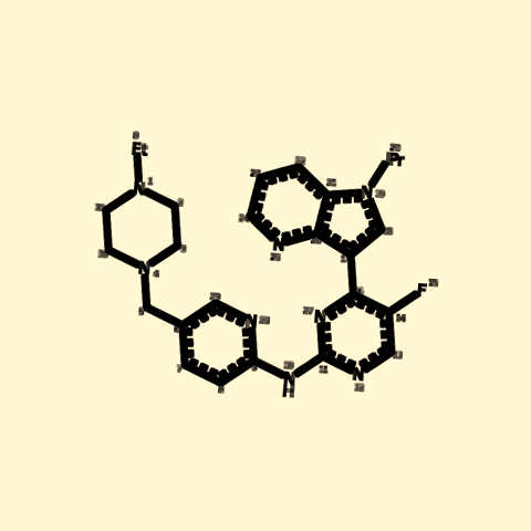 CCN1CCN(Cc2ccc(Nc3ncc(F)c(-c4cn(C(C)C)c5cccnc45)n3)nc2)CC1